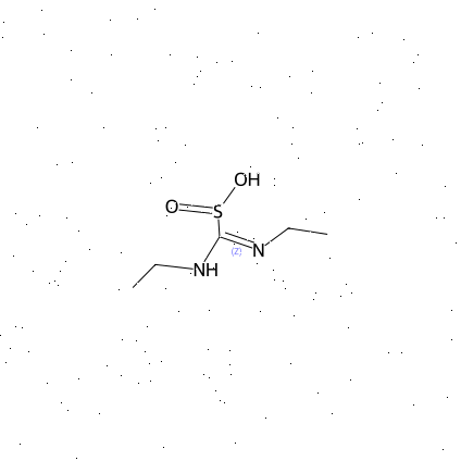 CC/N=C(/NCC)S(=O)O